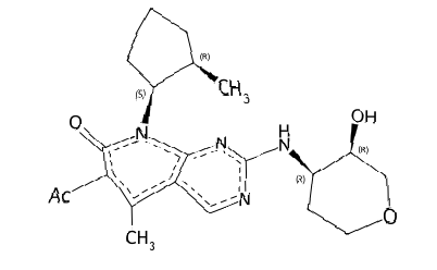 CC(=O)c1c(C)c2cnc(N[C@@H]3CCOC[C@@H]3O)nc2n([C@H]2CCC[C@H]2C)c1=O